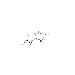 C=C(C)OC1CCC(C)CC1